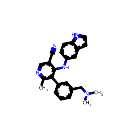 Cc1ncc(C#N)c(Nc2ccc3[nH]ccc3c2)c1-c1cccc(CN(C)C)c1